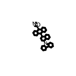 c1ccc2c(-n3c4ccccc4c4ccccc43)ccc(-c3c4ccccc4c(-c4cnco4)c4ccccc34)c2c1